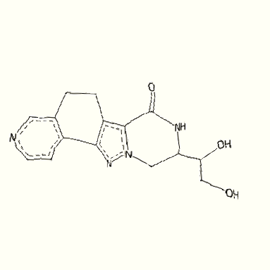 O=C1NC(C(O)CO)Cn2nc3c(c21)CCc1cnccc1-3